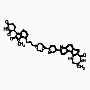 C[C@@H]1CNc2c(sc3ccc4nc(-c5ccc(N6CCN(CCCc7cccc8c7n(C)c(=O)n8C7CCC(=O)NC7=O)CC6)nc5)ccc4c23)C(=O)N1